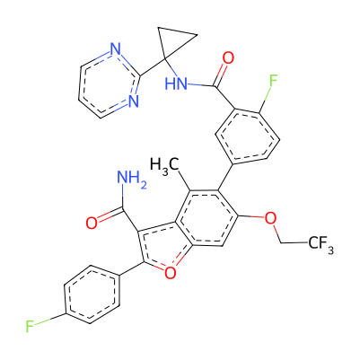 Cc1c(-c2ccc(F)c(C(=O)NC3(c4ncccn4)CC3)c2)c(OCC(F)(F)F)cc2oc(-c3ccc(F)cc3)c(C(N)=O)c12